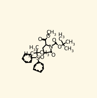 COC(=O)C1CC(O[Si](c2ccccc2)(c2ccccc2)C(C)(C)C)C(=O)N1C(=O)OC(C)(C)C